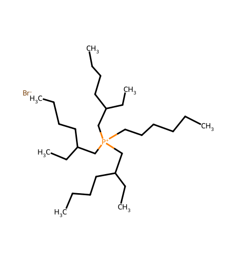 CCCCCC[P+](CC(CC)CCCC)(CC(CC)CCCC)CC(CC)CCCC.[Br-]